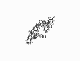 Cc1ccc(S(=O)(=O)N2CCC[C@H]2C(=O)N[C@H](Cc2ccc(N(C(=O)OC(C)(C)C)C(=O)C3Cc4ccccc4N3)cc2)C(=O)O)cc1